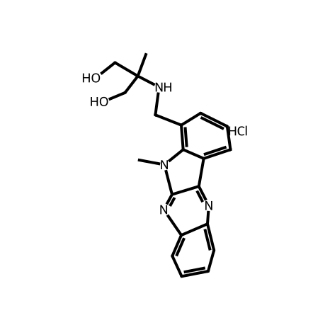 Cl.Cn1c2nc3ccccc3nc2c2cccc(CNC(C)(CO)CO)c21